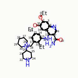 CCOc1cc2ncc(C(N)=O)c(Nc3cccc(C[N+]4(C5CCNCC5)CCCCC4)c3CC)c2cc1OCC